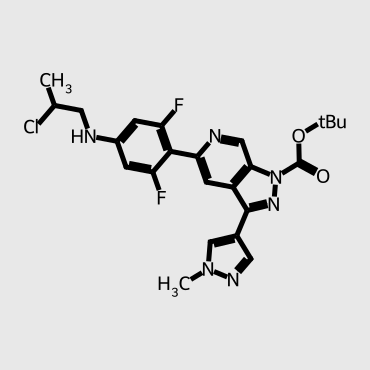 CC(Cl)CNc1cc(F)c(-c2cc3c(-c4cnn(C)c4)nn(C(=O)OC(C)(C)C)c3cn2)c(F)c1